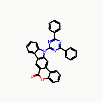 O=c1oc2ccccc2c2cc3c(cc12)c1ccccc1n3-c1nc(-c2ccccc2)nc(-c2ccccc2)n1